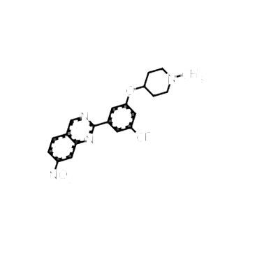 CN1CCC(Oc2cc(-c3ncc4ccc([N+](=O)[O-])cc4n3)cc(C(F)(F)F)c2)CC1